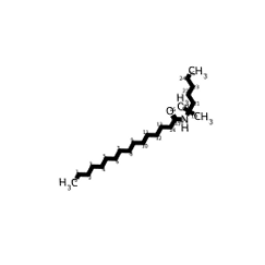 CCCCCCCCCCCCCCCC(=O)NC(C)(C)CCCCC